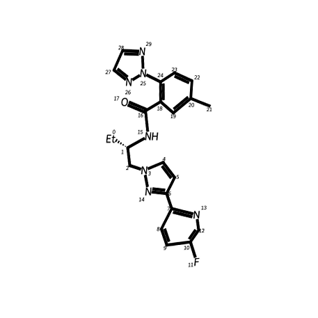 CC[C@@H](Cn1ccc(-c2ccc(F)cn2)n1)NC(=O)c1cc(C)ccc1-n1nccn1